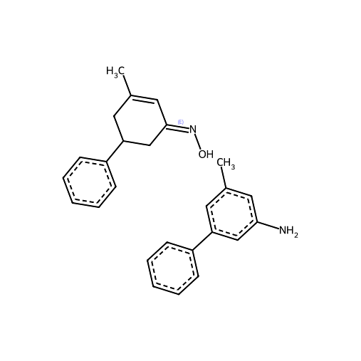 CC1=C/C(=N/O)CC(c2ccccc2)C1.Cc1cc(N)cc(-c2ccccc2)c1